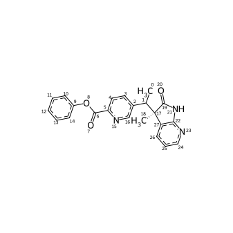 CC(c1ccc(C(=O)Oc2ccccc2)nc1)[C@@]1(C)C(=O)Nc2ncccc21